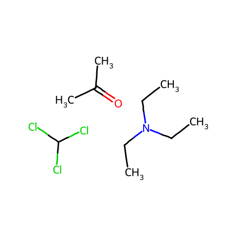 CC(C)=O.CCN(CC)CC.ClC(Cl)Cl